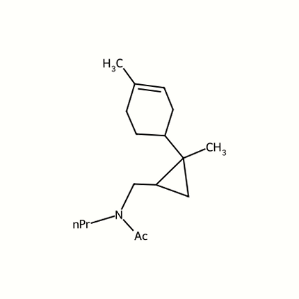 CCCN(CC1CC1(C)C1CC=C(C)CC1)C(C)=O